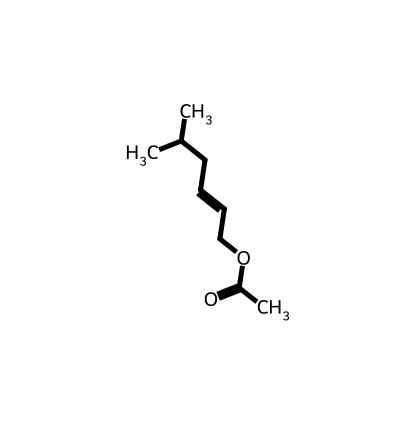 CC(=O)OCC=CCC(C)C